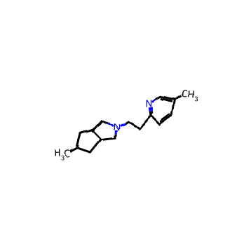 Cc1ccc(CCN2CC3CC(C)CC3C2)nc1